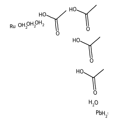 CC(=O)O.CC(=O)O.CC(=O)O.CC(=O)O.O.O.O.O.[PbH2].[Ru]